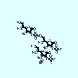 O=C1O[C@H]([C@@H](O)CO)C(O)=C1OP(=O)([O-])[O-].O=C1O[C@H]([C@@H](O)CO)C(O)=C1OP(=O)([O-])[O-].O=C1O[C@H]([C@@H](O)CO)C(O)=C1OP(=O)([O-])[O-].[Al+3].[Al+3]